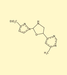 CCOC(=O)c1ccn(C2NCC(c3cc(C)ncn3)O2)n1